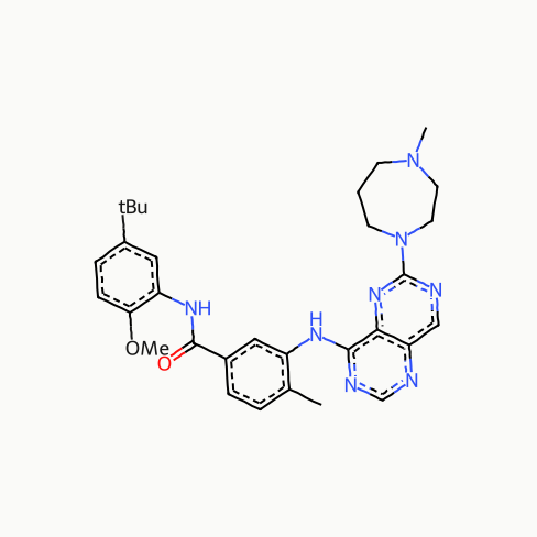 COc1ccc(C(C)(C)C)cc1NC(=O)c1ccc(C)c(Nc2ncnc3cnc(N4CCCN(C)CC4)nc23)c1